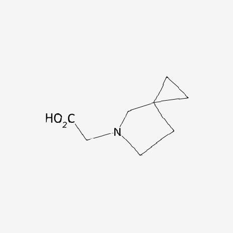 O=C(O)CN1CCC2(CC2)C1